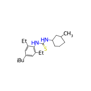 CCc1cc(C(C)CC)cc(CC)c1NC(=S)NC1CCCC(C)C1